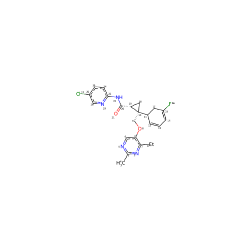 CCc1nc(C)ncc1OC[C@@]1(C2C=CC=C(F)C2)C[C@H]1C(=O)Nc1ccc(Cl)cn1